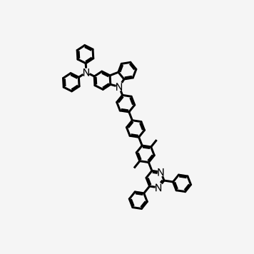 Cc1cc(-c2cc(-c3ccccc3)nc(-c3ccccc3)n2)c(C)cc1-c1ccc(-c2ccc(-n3c4ccccc4c4cc(N(c5ccccc5)c5ccccc5)ccc43)cc2)cc1